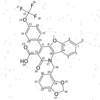 Cc1ccc2c(c1)oc1c(-c3ccc(OC(F)(F)F)cc3)c(C(=O)O)c(=O)n(Cc3cccc4c3OCO4)c12